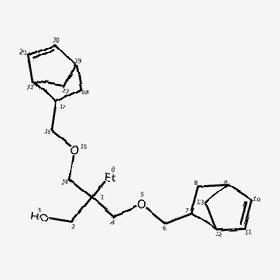 CCC(CO)(COCC1CC2C=CC1C2)COCC1CC2C=CC1C2